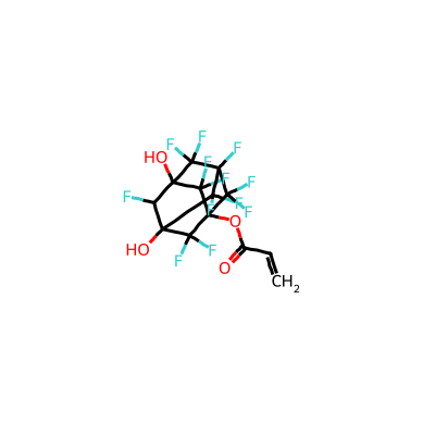 C=CC(=O)OC12C(F)(F)C3(O)C(F)C(O)(C(F)(F)C(F)(C3(F)F)C1(F)F)C2(F)F